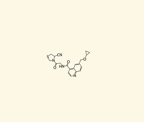 N#CC1CSCN1C(=O)CNC(=O)c1ccnc2ccc(COC3CC3)cc12